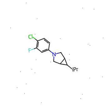 CC(C)C1C2CN(c3ccc(Cl)c(F)c3)CC21